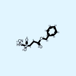 N#CNS(=O)(=O)CCC(=O)OCc1ccccc1